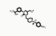 COCC1CN(CC2CCN(S(=O)(=O)c3ccc(N)cc3)CC2)C(=O)N(c2cccc(C(=N)N)c2)C1